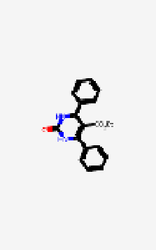 CCOC(=O)C1=C(c2ccccc2)NC(=O)NC1c1ccccc1